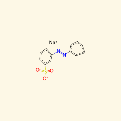 O=S(=O)([O-])c1cccc(N=Nc2ccccc2)c1.[Na+]